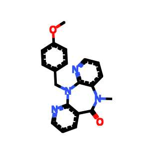 COc1ccc(CN2c3ncccc3C(=O)N(C)c3cccnc32)cc1